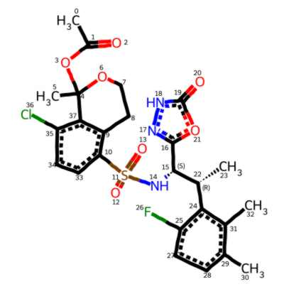 CC(=O)OC1(C)OCCc2c(S(=O)(=O)N[C@H](c3n[nH]c(=O)o3)[C@H](C)c3c(F)ccc(C)c3C)ccc(Cl)c21